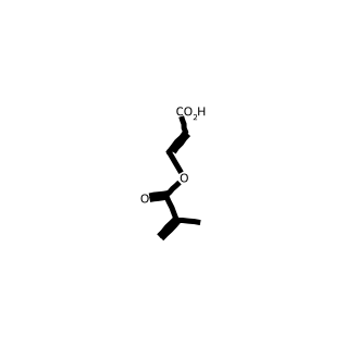 C=C(C)C(=O)OC=CC(=O)O